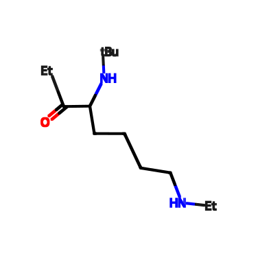 CCNCCCCC(NC(C)(C)C)C(=O)CC